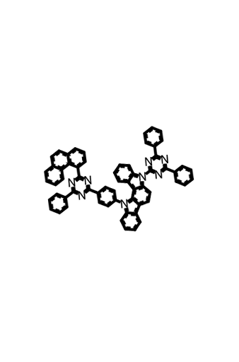 c1ccc(-c2nc(-c3ccc(-n4c5ccccc5c5ccc6c(c7ccccc7n6-c6nc(-c7ccccc7)nc(-c7ccccc7)n6)c54)cc3)nc(-c3cccc4ccc5ccccc5c34)n2)cc1